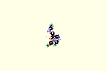 CC(c1ccnc(Nc2ccc(C(F)(F)F)cn2)c1)C1(C(C)c2ccnc(Nc3ccc(C(F)(F)F)cn3)c2)NC(=O)N(c2ccc(SC(F)(F)F)cc2)C1=O